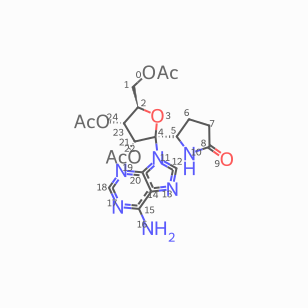 CC(=O)OC[C@H]1O[C@@](C2CCC(=O)N2)(n2cnc3c(N)ncnc32)[C@H](OC(C)=O)[C@@H]1OC(C)=O